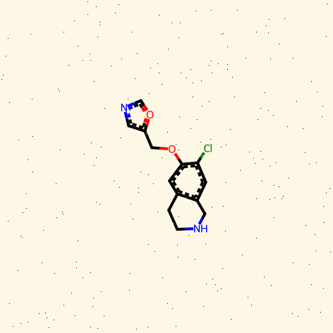 Clc1cc2c(cc1OCc1cnco1)CCNC2